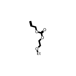 C=CCOC(=O)OCCOCC